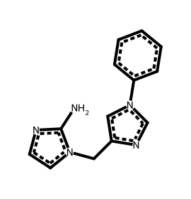 Nc1nccn1Cc1cn(-c2ccccc2)cn1